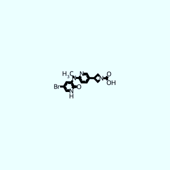 CN(c1ccc(C2CN(C(=O)O)C2)cn1)c1cc(Br)c[nH]c1=O